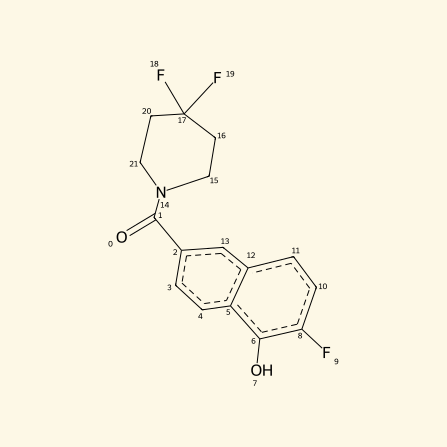 O=C(c1ccc2c(O)c(F)ccc2c1)N1CCC(F)(F)CC1